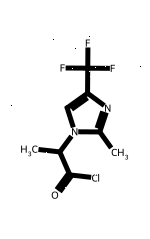 Cc1nc(C(F)(F)F)cn1C(C)C(=O)Cl